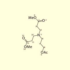 COC(=O)CCN(CCCOC(C)=O)CCC(=O)OC